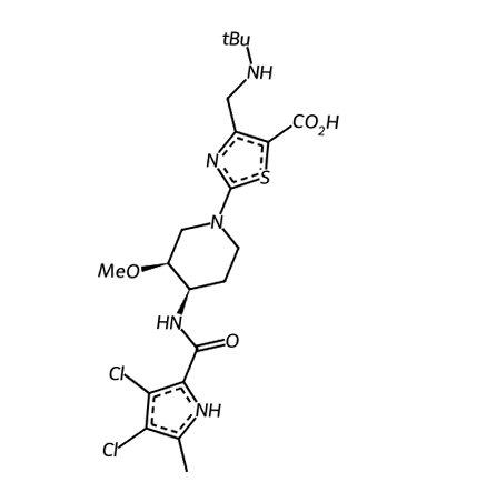 CO[C@H]1CN(c2nc(CNC(C)(C)C)c(C(=O)O)s2)CC[C@H]1NC(=O)c1[nH]c(C)c(Cl)c1Cl